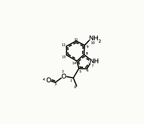 CC(OC=O)c1c[nH]c2c(N)cccc12